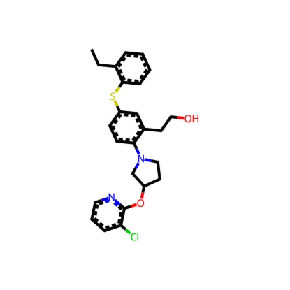 CCc1ccccc1Sc1ccc(N2CCC(Oc3ncccc3Cl)C2)c(CCO)c1